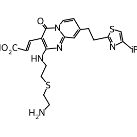 CC(C)c1csc(CCc2ccn3c(=O)c(/C=C/C(=O)O)c(NCCSCCN)nc3c2)n1